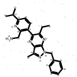 CCc1nc2c(nc1-c1ccc(C(C)C)nc1CN)c(C)nn2Cc1ccccc1